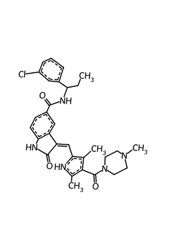 CCC(NC(=O)c1ccc2c(c1)C(=Cc1[nH]c(C)c(C(=O)N3CCN(C)CC3)c1C)C(=O)N2)c1cccc(Cl)c1